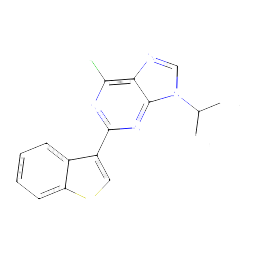 CC(C)n1cnc2c(Cl)nc(-c3csc4ccccc34)nc21